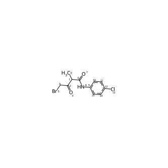 CC(C(=O)CBr)C(=O)Nc1ccc(Cl)cc1